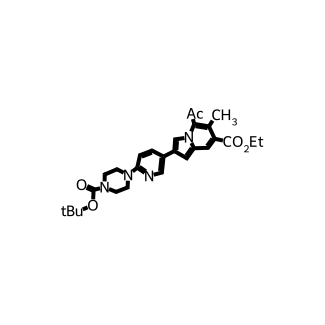 CCOC(=O)c1cc2cc(-c3ccc(N4CCN(C(=O)OC(C)(C)C)CC4)nc3)cn2c(C(C)=O)c1C